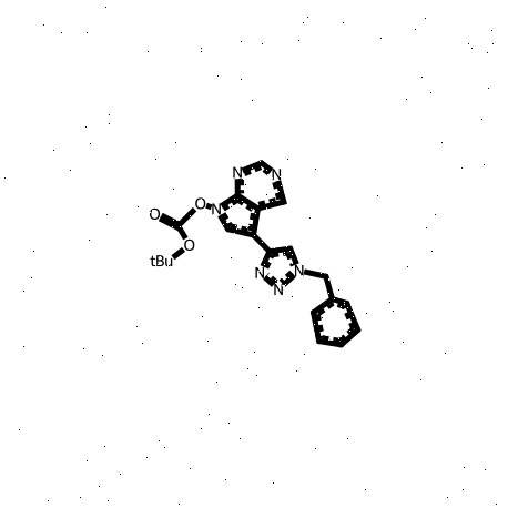 CC(C)(C)OC(=O)On1cc(-c2cn(Cc3ccccc3)nn2)c2cncnc21